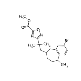 COC(=O)c1nc(C(C)(C)CC2CCC(N)c3ccc(Br)cc3C2)no1